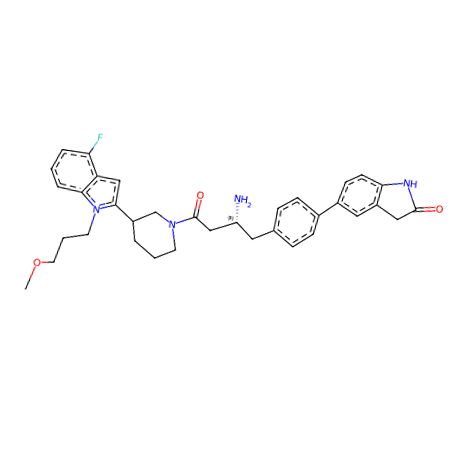 COCCCn1c(C2CCCN(C(=O)C[C@H](N)Cc3ccc(-c4ccc5c(c4)CC(=O)N5)cc3)C2)cc2c(F)cccc21